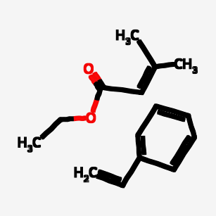 C=Cc1ccccc1.CCOC(=O)C=C(C)C